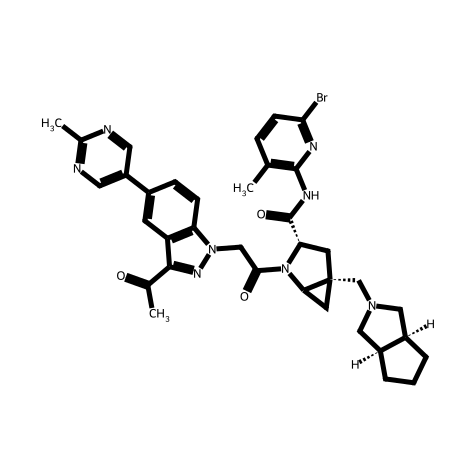 CC(=O)c1nn(CC(=O)N2C3C[C@]3(CN3C[C@H]4CCC[C@H]4C3)C[C@H]2C(=O)Nc2nc(Br)ccc2C)c2ccc(-c3cnc(C)nc3)cc12